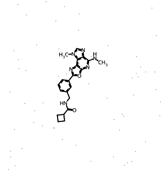 CNc1nc2oc(-c3cccc(CNC(=O)C4CCC4)c3)nc2c2c1ncn2C